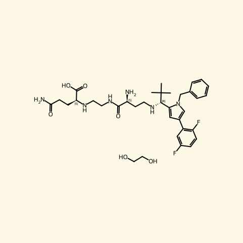 CC(C)(C)[C@@H](NCC[C@H](N)C(=O)NCCN[C@@H](CCC(N)=O)C(=O)O)c1cc(-c2cc(F)ccc2F)cn1Cc1ccccc1.OCCO